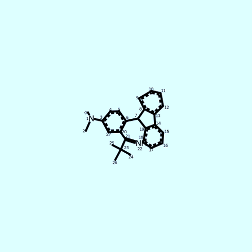 CN(C)c1ccc(C2c3ccccc3-c3ccccc32)c(C(=N)C(C)(C)C)c1